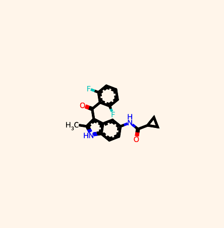 Cc1[nH]c2ccc(NC(=O)C3CC3)cc2c1C(=O)c1c(F)cccc1F